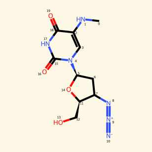 CNc1cn([C@H]2CC(N=[N+]=[N-])[C@@H](CO)O2)c(=O)[nH]c1=O